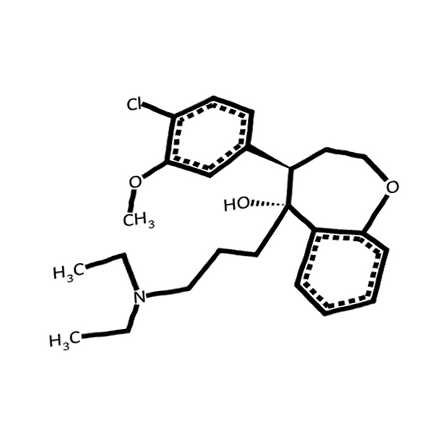 CCN(CC)CCC[C@]1(O)c2ccccc2OCC[C@@H]1c1ccc(Cl)c(OC)c1